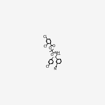 C[C@H](NC(=O)C(C)(C)OC(=O)c1ccc(Cl)cc1Cl)[C@@H](Cc1ccc(Cl)cc1)c1cccc(C#N)c1